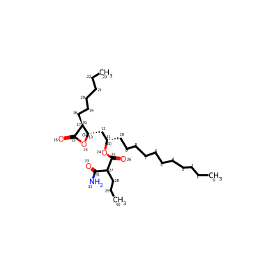 CCCCCCCCCCC[C@@H](C[C@@H]1OC(=O)[C@H]1CCCCCC)OC(=O)C(CCC)C(N)=O